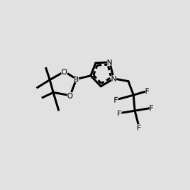 CC1(C)OB(c2cnn(CC(F)(F)C(F)(F)F)c2)OC1(C)C